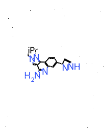 CC(C)Cn1cc2c(N)nc3cc(-c4cc[nH]n4)ccc3c2n1